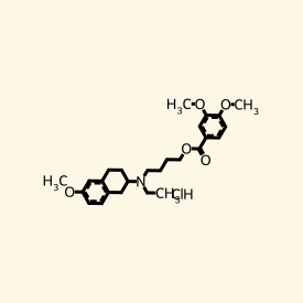 CCN(CCCCOC(=O)c1ccc(OC)c(OC)c1)C1CCc2cc(OC)ccc2C1.Cl